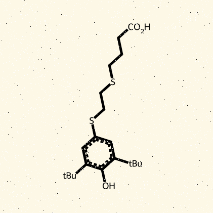 CC(C)(C)c1cc(SCCSCCCC(=O)O)cc(C(C)(C)C)c1O